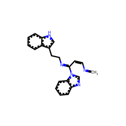 C=N/C=C\C(=N/CCc1c[nH]c2ccccc12)n1cnc2ccccc21